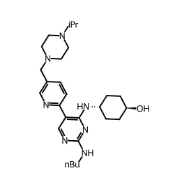 CCCCNc1ncc(-c2ccc(CN3CCN(C(C)C)CC3)cn2)c(N[C@H]2CC[C@H](O)CC2)n1